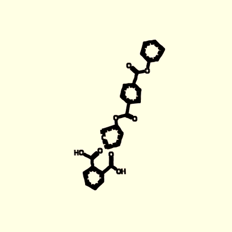 O=C(O)c1ccccc1C(=O)O.O=C(Oc1ccccc1)c1ccc(C(=O)Oc2ccccc2)cc1